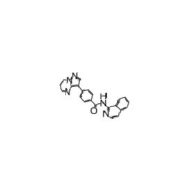 O=C(Nc1nccc2ccccc12)c1ccc(-c2cnn3cccnc23)cc1